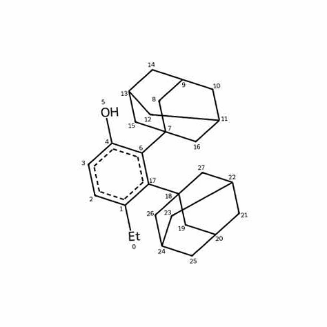 CCc1ccc(O)c(C23CC4CC(CC(C4)C2)C3)c1C12CC3CC(CC(C3)C1)C2